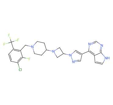 Fc1c(Cl)ccc(C(F)(F)F)c1CN1CCC(N2C[C](n3cc(-c4ncnc5[nH]ccc45)cn3)C2)CC1